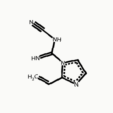 C=Cc1nccn1C(=N)NC#N